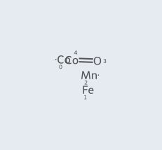 [Co].[Fe].[Mn].[O]=[Co]